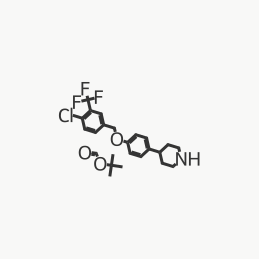 CC(C)(C)OC=O.FC(F)(F)c1cc(COc2ccc(C3CCNCC3)cc2)ccc1Cl